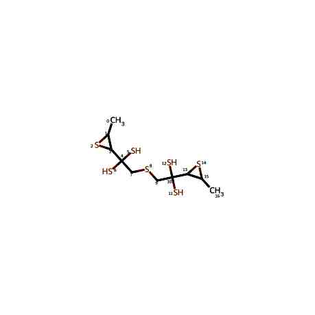 CC1SC1C(S)(S)CSCC(S)(S)C1SC1C